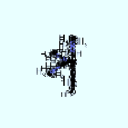 CCCOCCOCCC(=O)NCCCOCCOCCOCCCNC(=O)[C@@H](CCCCNC(=O)/C=C(C)/C=C/C=C(C)/C=C/C1=C(C)CCCC1(C)C)NC(=O)[C@@H](CCCCNC(=O)/C=C(C)/C=C/C=C(C)/C=C/C1=C(C)CCCC1(C)C)NC(=O)/C=C(C)/C=C/C=C(C)/C=C/C1=C(C)CCCC1(C)C